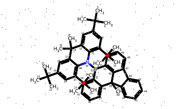 CC(C)(C)c1cc(C(C)(C)C)c2c(c1)C(C)(C)c1cc(C(C)(C)C)cc(C(C)(C)C)c1N2B1c2ccccc2C2(C)c3ccccc3-c3cccc1c32